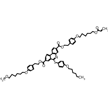 C=CC(=O)OCCCCCCOc1ccc(CCOC(=O)c2ccc3c(c2)nc(Sc2ccc(OCCCCCC)cc2)c2cc(C(=O)OCCc4ccc(OCCCCCCOC)cc4)ccc23)cc1